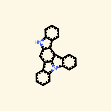 c1ccc2c(c1)[nH]c1cc3c4ccccc4n4c5ccccc5c(c12)c34